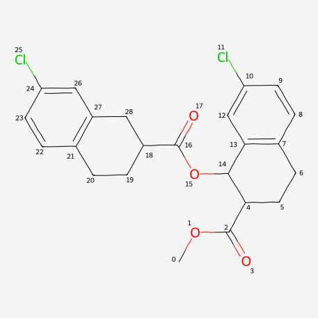 COC(=O)C1CCc2ccc(Cl)cc2C1OC(=O)C1CCc2ccc(Cl)cc2C1